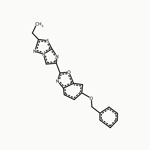 CCc1nn2cc(-c3nc4ccc(OCc5ccccc5)cc4o3)nc2s1